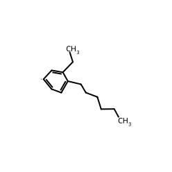 CCCCCCc1cc[c]cc1CC